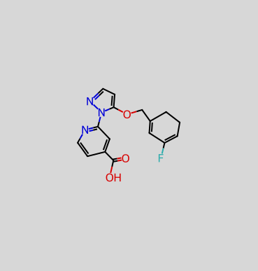 O=C(O)c1ccnc(-n2nccc2OCC2=CC(F)=CCC2)c1